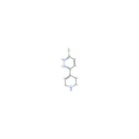 Clc1ccc(C2=CCNCC2)nn1